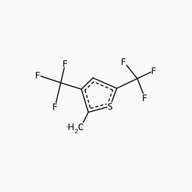 [CH2]c1sc(C(F)(F)F)cc1C(F)(F)F